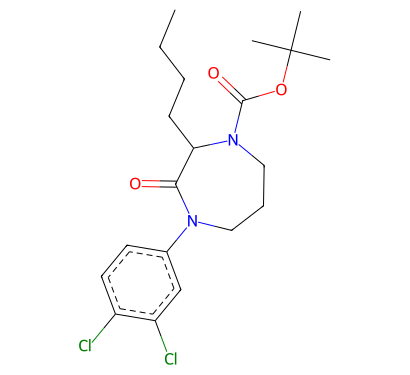 CCCCC1C(=O)N(c2ccc(Cl)c(Cl)c2)CCCN1C(=O)OC(C)(C)C